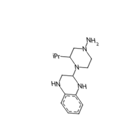 CC(C)C1CN(N)CCN1C1CNc2ccccc2N1